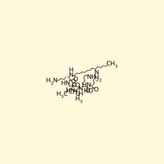 CCCCCCCCCCCCCC(=O)N[C@@H](CCCCN)C(=O)N[C@@H](CC(C)C)C(=O)N[C@@H](C)C(=O)N[C@@H](CCCCN)C(=O)N[C@@H](CCCCN)C(=O)O